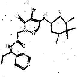 CCC(NC(=O)Cn1ncc(N[C@@H]2C[C@H](C)C(C)(C)[C@H](C)[C@H]2C)c(Br)c1=O)c1ccncc1